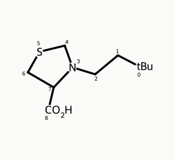 CC(C)(C)CCN1CSCC1C(=O)O